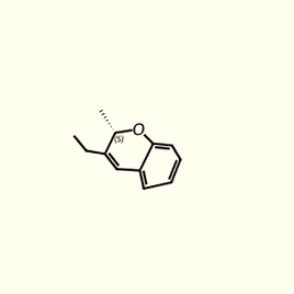 CCC1=Cc2ccccc2O[C@H]1C